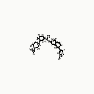 CC1CN(c2cc(C(=O)Nc3cc4cc(-c5cnn(C)c5)ccc4cn3)ccn2)CCC1N(C)C